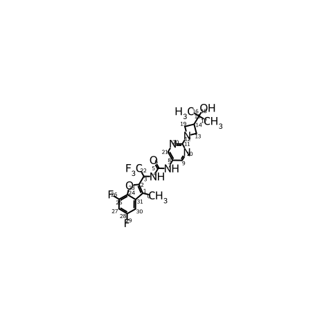 Cc1c(C(NC(=O)Nc2cnc(N3CC(C(C)(C)O)C3)nc2)C(F)(F)F)oc2c(F)cc(F)cc12